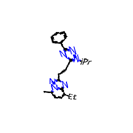 CCc1ccc(C)n2nc(CCc3nc(-c4ccccc4)nn3C(C)C)nc12